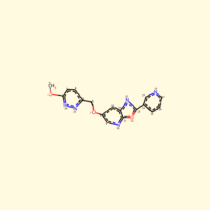 COc1ccc(COc2cnc3oc(-c4cccnc4)nc3c2)nn1